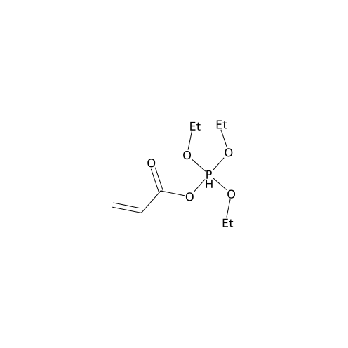 C=CC(=O)O[PH](OCC)(OCC)OCC